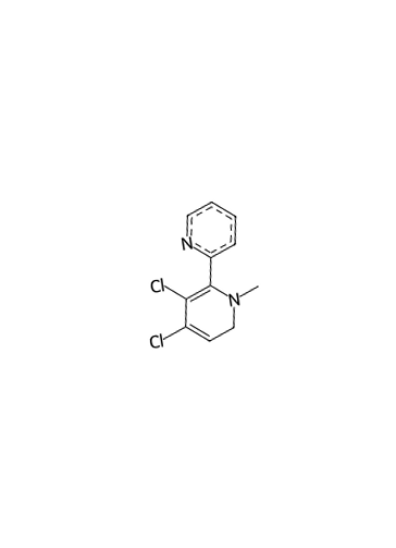 CN1CC=C(Cl)C(Cl)=C1c1ccccn1